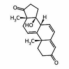 C[C@]12CCC(=O)C=C1C=C[C@@H]1C2=CC[C@]2(C)C(=O)CC[C@]12O